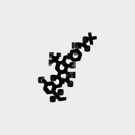 CCS(=O)(=O)c1ccc(Cl)cc1Cn1c(=O)[nH]c2c(Cl)c(CN3CCC[C@@H](NC(=O)OC(C)(C)C)C3)c(C(F)(F)F)cc2c1=O